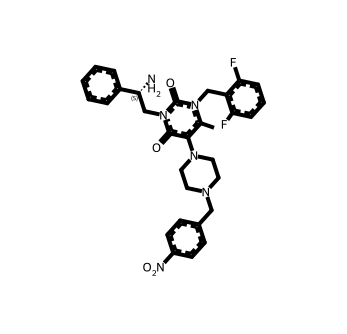 Cc1c(N2CCN(Cc3ccc([N+](=O)[O-])cc3)CC2)c(=O)n(C[C@@H](N)c2ccccc2)c(=O)n1Cc1c(F)cccc1F